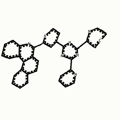 c1ccc(-c2nc(-c3ccnc(-c4nc5ccccc5c5c4ccc4ccccc45)c3)nc(-c3ccccn3)n2)nc1